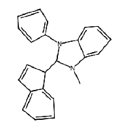 CN1c2ccccc2N(c2ccccc2)C1C1C=Cc2ccccc21